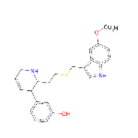 O=C(O)Oc1ccc2[nH]cc(CSCCC3NCC=CC3c3cccc(O)c3)c2c1